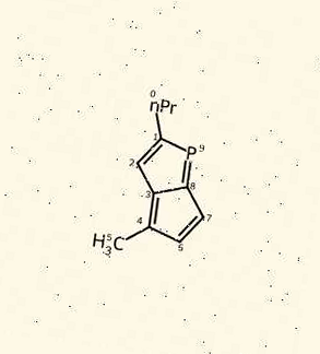 CCCC1=[C]C2=C(C)C=CC2=P1